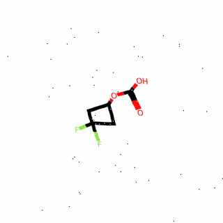 O=C(O)OC1CC(F)(F)C1